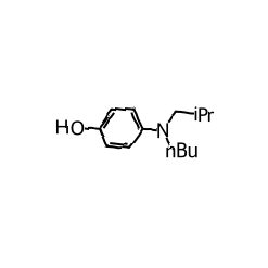 CCCCN(CC(C)C)c1ccc(O)cc1